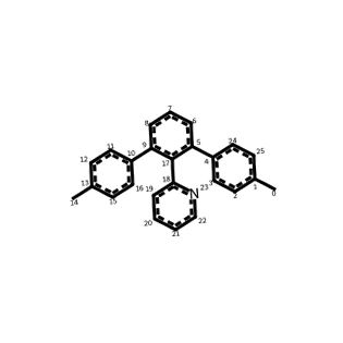 Cc1ccc(-c2cccc(-c3ccc(C)cc3)c2-c2ccccn2)cc1